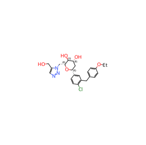 CCOc1ccc(Cc2cc([C@H]3C[C@@H](O)[C@H](O)[C@@H](Cn4nncc4CO)O3)ccc2Cl)cc1